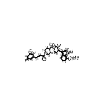 COc1cccc2c(C3CCN(C(C(=O)O)C4CCN(C(=O)C=Cc5cc(F)cc(F)c5)CC4)CC3)c[nH]c12